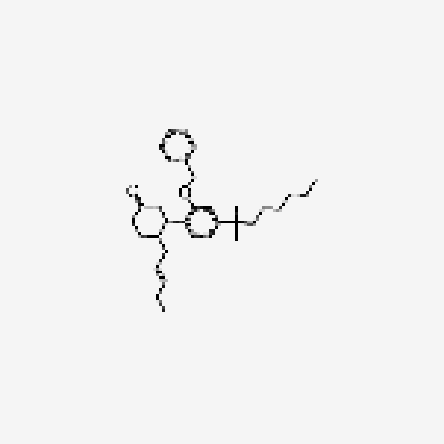 CCC=CCC1CCC(=O)CC1c1ccc(C(C)(C)CCCCCC)cc1OCc1ccccc1